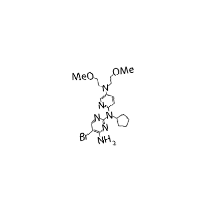 COCCN(CCOC)c1ccc(N(c2ncc(Br)c(N)n2)C2CCCC2)nc1